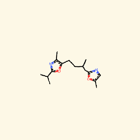 Cc1cnc(C(C)CCc2oc(C(C)C)nc2C)o1